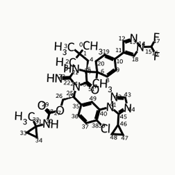 CC(C)(C)C[C@]1(C2(C)C=CC(c3cnn(C(F)F)c3)=CC2)NC(=N)N([C@H](COC(=O)NC2(C)CC2)c2ccc(Cl)c(-n3ncnc3C3CC3)c2)C1=O